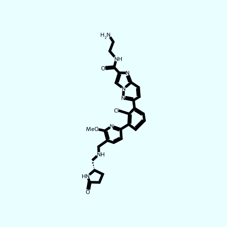 COc1nc(-c2cccc(-c3ccc4nc(C(=O)NCCN)cn4n3)c2Cl)ccc1CNC[C@@H]1CCC(=O)N1